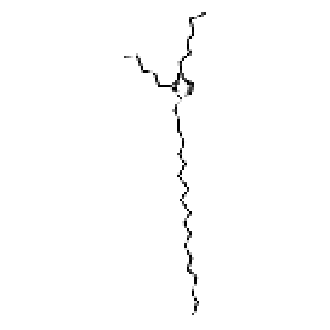 CCCCCCCCCCCCCCCCCCC[n+]1ccn(CCCCCC)c1CCCCC